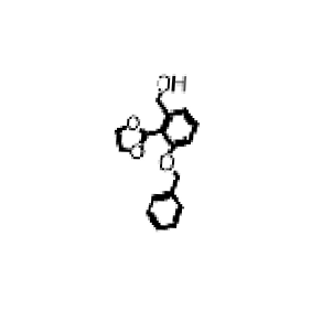 OCc1cccc(OCc2ccccc2)c1C1OCCO1